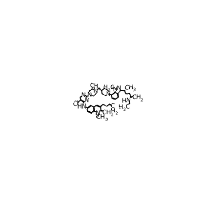 C=CCCC1=Cc2cc(Nc3nc(N4CCN(CC5CCN(c6cccc7c(C(C)CCC(=C)NC=C)nn(C)c67)CC5)[C@@H](C)C4)ncc3Cl)ccc2N(C)C1=C